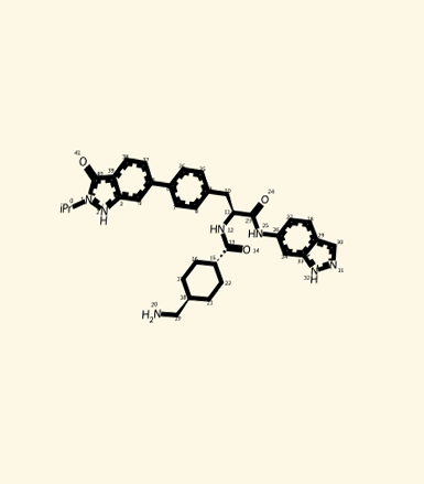 CC(C)n1[nH]c2cc(-c3ccc(C[C@H](NC(=O)[C@H]4CC[C@H](CN)CC4)C(=O)Nc4ccc5cn[nH]c5c4)cc3)ccc2c1=O